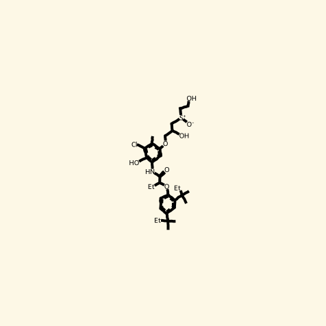 CCC(Oc1ccc(C(C)(C)CC)cc1C(C)(C)CC)C(=O)Nc1cc(OCC(O)C[S+]([O-])CCO)c(C)c(Cl)c1O